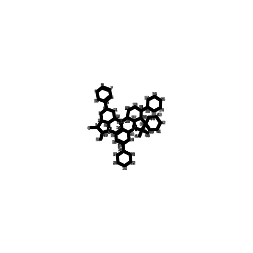 CC1C2CC(C3=CC=CCC3)CC3B4C5=C(C=C(C6CCCCC6)CC5N5C6C4CCC(C4CCCCC4)C6C4(CCCCC4)C5(C)C)N(C1C)C32